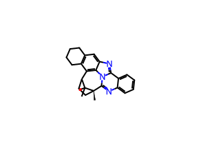 CC1(C)C2CC[C@@]1(C)c1nc3ccccc3c3nc4cc5c(c2c4n13)CCCC5